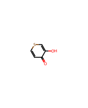 O=c1ccscc1O